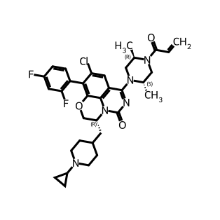 C=CC(=O)N1C[C@H](C)N(c2nc(=O)n3c4c(c(-c5ccc(F)cc5F)c(Cl)cc24)OC[C@H]3CC2CCN(C3CC3)CC2)C[C@H]1C